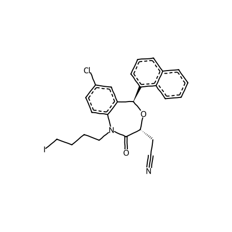 N#CC[C@H]1O[C@H](c2cccc3ccccc23)c2cc(Cl)ccc2N(CCCCI)C1=O